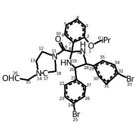 CC(C)Oc1ccccc1C1(C(=O)N2CCN(CC=O)CC2)NC(c2ccc(Br)cc2)C(c2ccc(Br)cc2)N1